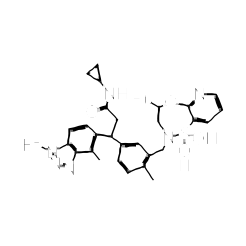 CCC1CN(Cc2cc(C(CC(=O)NC3CC3)c3ccc4c(nnn4CC)c3C)ccc2C)S(O)(O)c2cccnc2O1